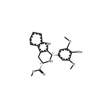 COC(=O)[C@@H]1Cc2c([nH]c3ccccc23)[C@H](c2cc(OC)c(O)c(OC)c2)N1